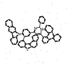 c1ccc(C2N=C(c3ccc(-n4c5ccccc5c5cc6ccccc6cc54)c(-c4cccc5sc6ccc7ccccc7c6c45)c3)N=C(c3cccc4c5ccccc5c5ccccc5c34)N2)cc1